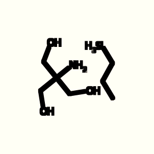 CCC[SiH3].NC(CO)(CO)CO